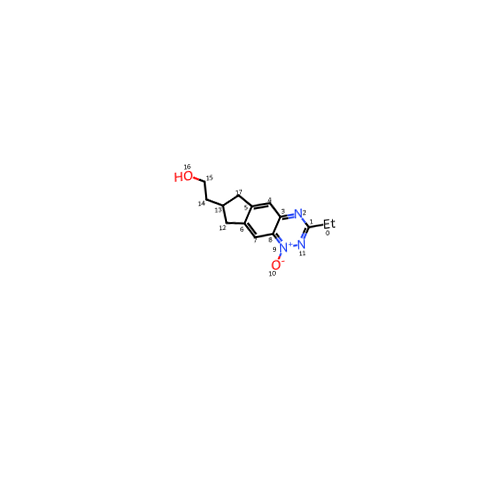 CCc1nc2cc3c(cc2[n+]([O-])n1)CC(CCO)C3